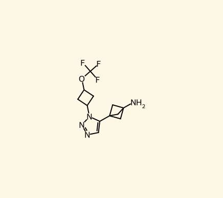 NC12CC(c3cnnn3C3CC(OC(F)(F)F)C3)(C1)C2